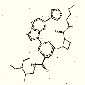 CCN(CC)C(C)CNC(=O)c1cc(-c2cnn3ccc(-c4cccs4)nc23)nc(N2CCC2C(=O)NCCOC)c1